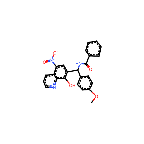 COc1ccc(C(NC(=O)c2ccccc2)c2cc([N+](=O)[O-])c3cccnc3c2O)cc1